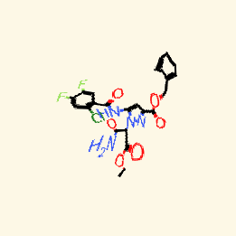 CCOC(=O)C(C(N)=O)n1nc(C(=O)OCc2ccccc2)cc1NC(=O)c1cc(F)c(F)cc1Cl